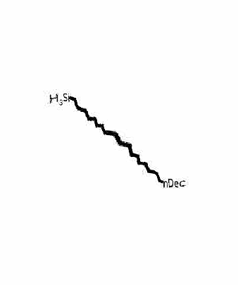 CCCCCCCCCCCCCCCCCCCCCCCCCCCC[SiH3]